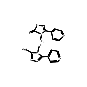 CSc1nnc(-c2ccncc2)n1C.Cn1c(-c2ccncc2)n[nH]c1=S